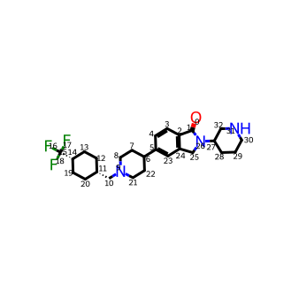 O=C1c2ccc(C3CCN(C[C@H]4CC[C@@H](C(F)(F)F)CC4)CC3)cc2CN1C1CCCNC1